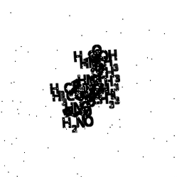 CC(C)[C@@H](CC(=O)NC(C)(C)C(=O)O)NC(=O)N[C@H](C(=O)N1C[C@]2(C[C@H]1C(=O)NC(CC1CCC1)C(=O)C(N)=O)C(C)(C)C21CCC1)C(C)(C)C